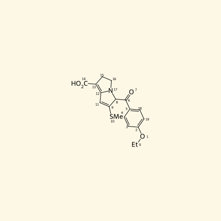 CCOc1ccc(C(=O)C2C(SC)=CC3=C(C(=O)O)CCN32)cc1